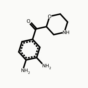 Nc1ccc(C(=O)C2CNCCO2)cc1N